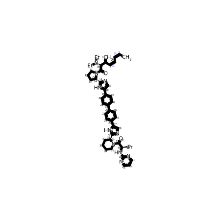 C=C(/C=C\C=C/C)[C@H](C(=O)N1CCC[C@H]1c1ncc(-c2ccc(-c3ccc(-c4cnc([C@@H]5CCCCN5C(=O)[C@H](Nc5ncccn5)C(C)C)[nH]4)cc3)cc2)[nH]1)N(CC)CC